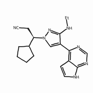 CCNc1nn([C@H](CC#N)C2CCCC2)cc1-c1ncnc2[nH]ccc12